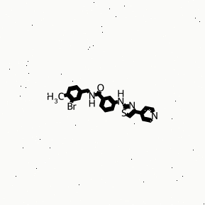 Cc1ccc(CNC(=O)c2cccc(Nc3nc(-c4ccncc4)cs3)c2)cc1Br